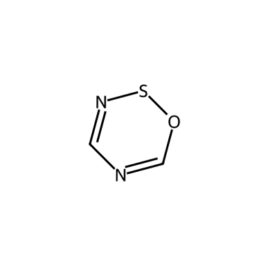 C1=NC=NSO1